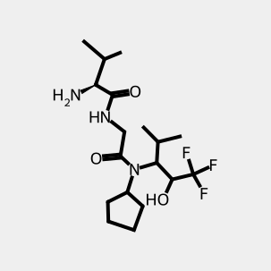 CC(C)C(C(O)C(F)(F)F)N(C(=O)CNC(=O)[C@@H](N)C(C)C)C1CCCC1